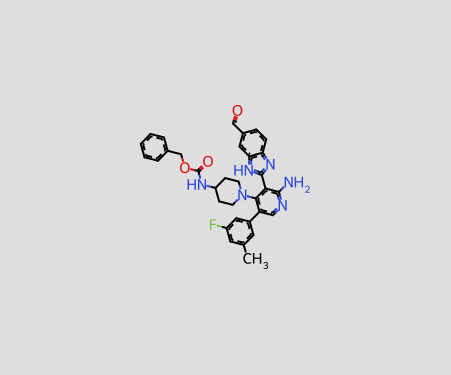 Cc1cc(F)cc(-c2cnc(N)c(-c3nc4ccc(C=O)cc4[nH]3)c2N2CCC(NC(=O)OCc3ccccc3)CC2)c1